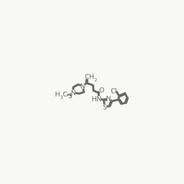 C=C(CCC(=O)Nc1nc(-c2ccccc2Cl)cs1)N1CCN(SC)CC1